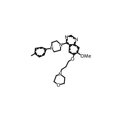 COc1cc2ncnc(N3CCN(c4ccc(C)cc4)CC3)c2cc1OCCCN1CCOCC1